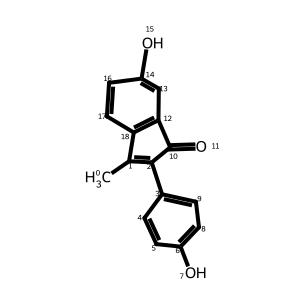 CC1=C(c2ccc(O)cc2)C(=O)c2cc(O)ccc21